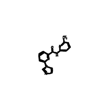 Cc1cccc(NC(=O)c2cccc(-n3ccnc3)n2)n1